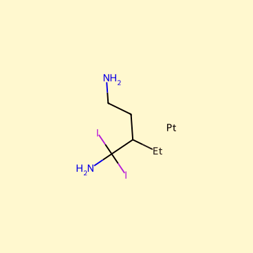 CCC(CCN)C(N)(I)I.[Pt]